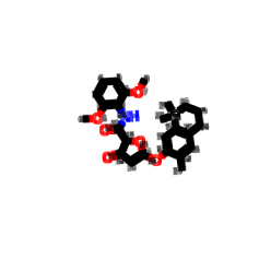 COc1cccc(OC)c1NC(=O)C1OC(Oc2cc3c(cc2C)CCC[Si]3(C)C)=CC1=O